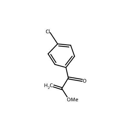 C=C(OC)C(=O)c1ccc(Cl)cc1